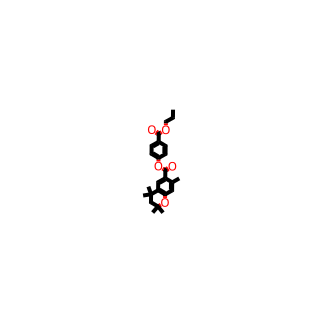 CCCOC(=O)c1ccc(OC(=O)c2cc3c(cc2C)OC(C)(C)CC3(C)C)cc1